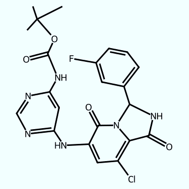 CC(C)(C)OC(=O)Nc1cc(Nc2cc(Cl)c3n(c2=O)C(c2cccc(F)c2)NC3=O)ncn1